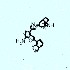 Nc1ncc(-c2cnn([C@H]3CC4CCC45N[C@H]5C3)c2)c2cc(-c3cccc4cnsc34)oc12